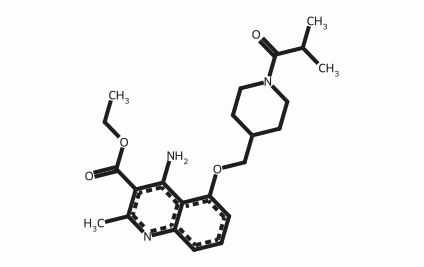 CCOC(=O)c1c(C)nc2cccc(OCC3CCN(C(=O)C(C)C)CC3)c2c1N